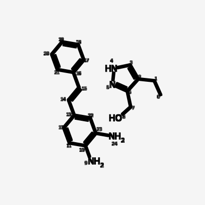 CCc1c[nH]nc1CO.Nc1ccc(C=Cc2ccccc2)cc1N